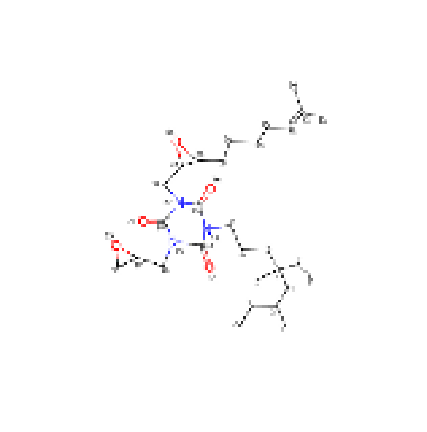 CCC(C)CC(C)(CC)CCCn1c(=O)n(CC2CO2)c(=O)n(CC2OC2CCCCC=C(C)C)c1=O